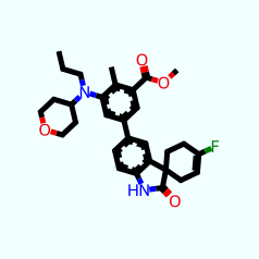 CCCN(c1cc(-c2ccc3c(c2)C2(CC=C(F)CC2)C(=O)N3)cc(C(=O)OC)c1C)C1CCOCC1